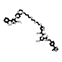 Cc1ncsc1-c1ccc(CNC(=O)C2C[C@@H](O)CN2C(=O)C(c2cc(OCCOCCOCCCCN3CCOC4(CCN(c5cc(-c6ccccc6O)nnc5N)CC4)C3)no2)C(C)C)cc1